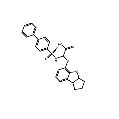 O=C(O)C(NS(=O)(=O)c1ccc(-c2ccccc2)cc1)Oc1cccc2c1OC1CCCC21